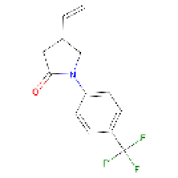 C=CC1CC(=O)N(c2ccc(C(F)(F)F)cc2)C1